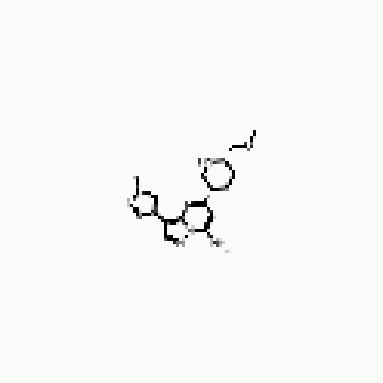 COC[C@@H]1CC[C@H](c2cc(N)n3ncc(C4C=NN(C)C4)c3n2)CN1